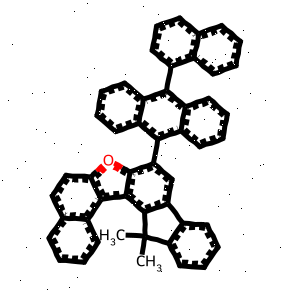 CC1(C)c2ccccc2-c2cc(-c3c4ccccc4c(-c4cccc5ccccc45)c4ccccc34)c3oc4ccc5ccccc5c4c3c21